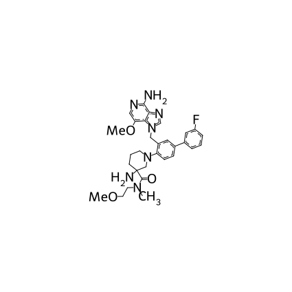 COCCN(C)C(=O)C1(N)CCCN(c2ccc(-c3cccc(F)c3)cc2Cn2cnc3c(N)ncc(OC)c32)C1